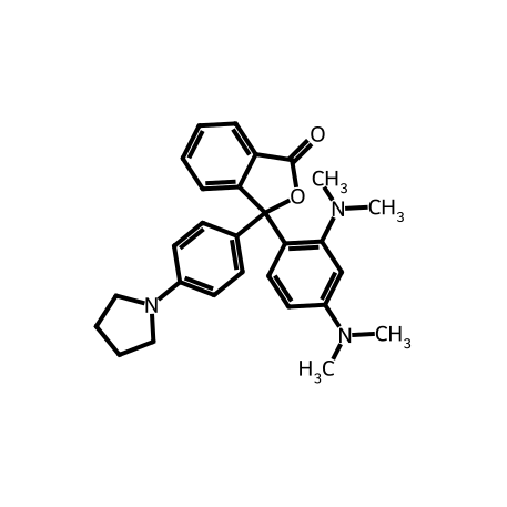 CN(C)c1ccc(C2(c3ccc(N4CCCC4)cc3)OC(=O)c3ccccc32)c(N(C)C)c1